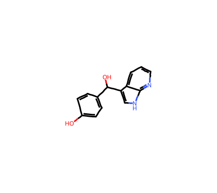 Oc1ccc(C(O)c2c[nH]c3ncccc23)cc1